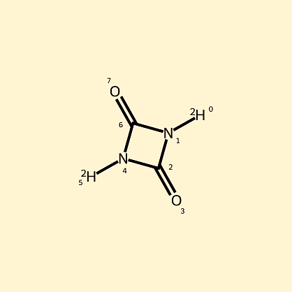 [2H]N1C(=O)N([2H])C1=O